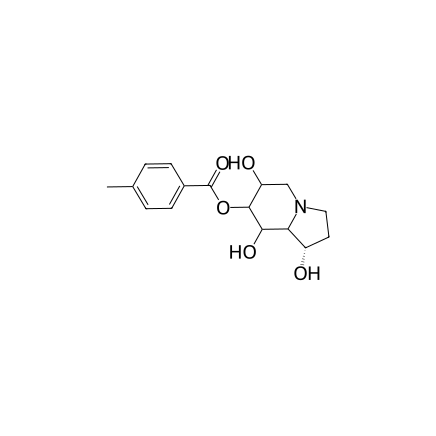 Cc1ccc(C(=O)OC2C(O)CN3CC[C@H](O)C3C2O)cc1